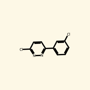 Clc1cccc(-c2ccc(Cl)nn2)c1